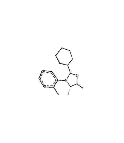 Cc1ccccc1N1C(C2CCCCC2)OC(C)[C@@H]1C